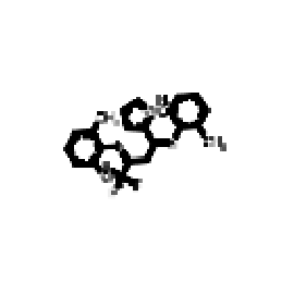 Cc1cccc(C)c1N=C(CC(=Nc1c(C)cccc1C)C(F)(F)F)c1ccco1